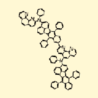 c1ccc(-c2c3c(c(-c4ccccc4)c4cc(-c5ccc6c(N(c7ccccc7)c7ccc8c9c(cccc79)-c7c-8c(-c8ccccc8)c8ccccc8c7-c7ccccc7)cc7cccnc7c6n5)ccc24)-c2cccc4c(N(c5ccccc5)c5ccc6ccc7cccnc7c6n5)ccc-3c24)cc1